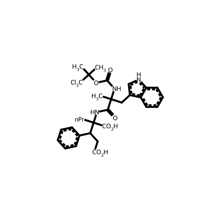 CCCC(NC(=O)C(C)(Cc1c[nH]c2ccccc12)NC(=O)OC(C)(C)C(Cl)(Cl)Cl)(C(=O)O)C(CC(=O)O)c1ccccc1